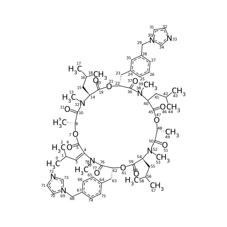 CC(C)/C=C1\C(=O)O[C@H](C)C(=O)N(C)[C@@H](CC(C)C)C(=O)O[C@H](Cc2cccc(Cn3ccnc3)c2)C(=O)N(C)C(CC(C)C)C(=O)O[C@H](C)C(=O)N(C)[C@@H](CC(C)C)C(=O)O[C@H](Cc2ccc(Cn3ccnc3)cc2)C(=O)N1C